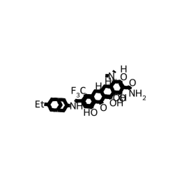 CCC1CC2CC(C1)CC(NCc1cc(O)c3c(c1C(F)(F)F)C[C@H]1C[C@H]4[C@H](N(C)C)C(O)=C(C(N)=O)C(=O)[C@@]4(O)C(O)=C1C3=O)C2